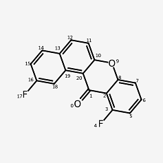 O=c1c2c(F)cccc2oc2ccc3ccc(F)cc3c12